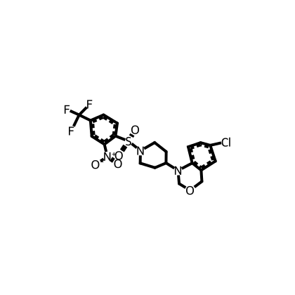 O=[N+]([O-])c1cc(C(F)(F)F)ccc1S(=O)(=O)N1CCC(N2COCc3cc(Cl)ccc32)CC1